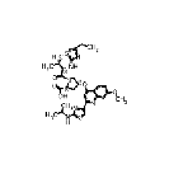 CCc1csc(N[C@H](C(=O)N2C[C@H](Oc3cc(-c4csc(NC(C)C)n4)nc4cc(OC)ccc34)C[C@H]2C(=O)O)C(C)C)n1